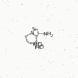 Cl.Cl.Nc1cnn2ccccc12